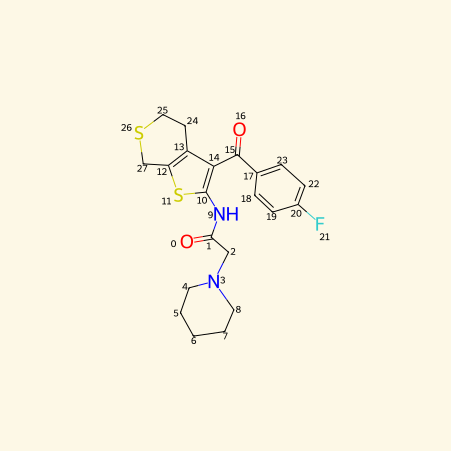 O=C(CN1CCCCC1)Nc1sc2c(c1C(=O)c1ccc(F)cc1)CCSC2